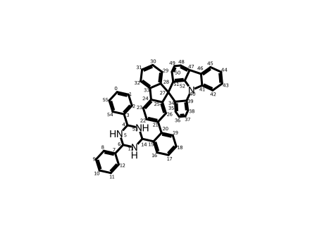 c1ccc(C2NC(c3ccccc3)NC(c3ccccc3-c3ccc4c(c3)C3(c5ccccc5-4)c4ccccc4-n4c5ccccc5c5cccc3c54)N2)cc1